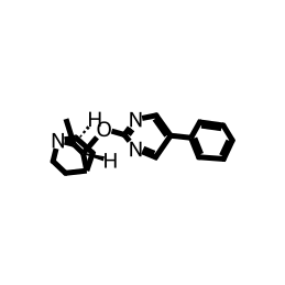 C[C@H]1[C@H](Oc2ncc(-c3ccccc3)cn2)C2CCN1CC2